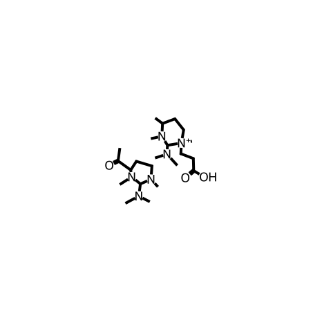 CC(=O)C1CCN(C)C(N(C)C)N1C.CC1CC[N+](C)(CCC(=O)O)C(N(C)C)N1C